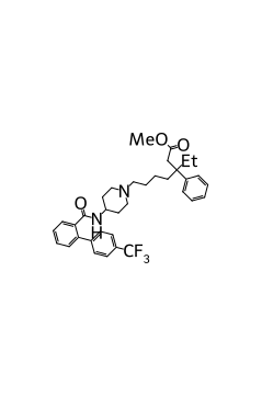 CCC(CCCCN1CCC(NC(=O)c2ccccc2-c2ccc(C(F)(F)F)cc2)CC1)(CC(=O)OC)c1ccccc1